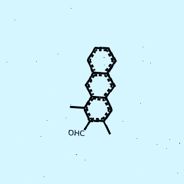 Cc1cc2cc3ccccc3cc2c(C)c1C=O